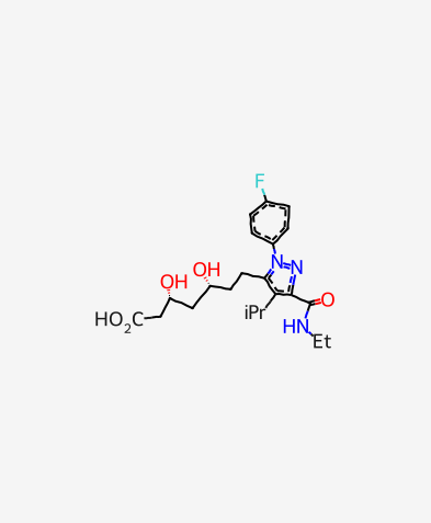 CCNC(=O)c1nn(-c2ccc(F)cc2)c(CC[C@@H](O)C[C@@H](O)CC(=O)O)c1C(C)C